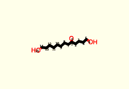 O=C(CCCCO)CCCCCCCCO